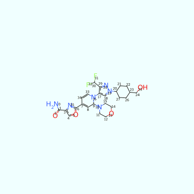 NC(=O)c1coc(C2=CC(N3CCOCC3)N(c3cn(C4CCC(CO)CC4)nc3C(F)F)C=C2)n1